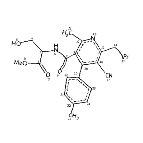 COC(=O)C(CO)NC(=O)c1c(C)nc(CC(C)C)c(C#N)c1-c1ccc(C)cc1